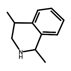 CC1CNC(C)c2ccccc21